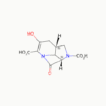 O=C(O)C1=C(O)C[C@@H]2CN(C(=O)O)[C@@H]3C(=O)N1C23